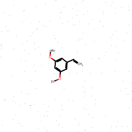 C=[C]c1cc(OCC)cc(OCCCC)c1